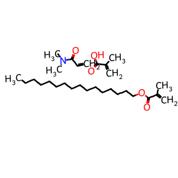 C=C(C)C(=O)O.C=C(C)C(=O)OCCCCCCCCCCCCCCCC.C=CC(=O)N(C)C